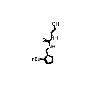 CCCCC1=CCCC1CNC(=S)NCCO